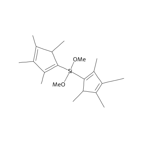 CO[Si](OC)(C1=C(C)C(C)=C(C)C1C)C1=C(C)C(C)=C(C)C1C